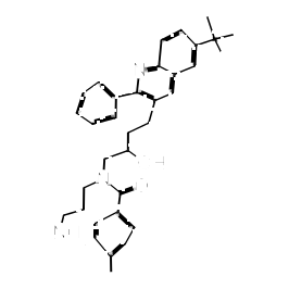 Cc1ccc(C(=O)N(CCCN)CC(O)CCc2cc3cc(C(C)(C)C)ccc3nc2-c2ccccc2)cc1